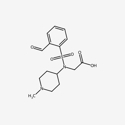 CN1CCC(N(CC(=O)O)S(=O)(=O)c2ccccc2C=O)CC1